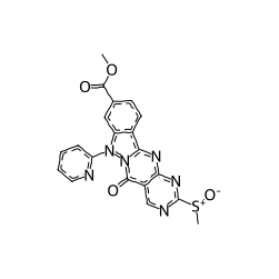 COC(=O)c1ccc2c(c1)n(-c1ccccn1)n1c(=O)c3cnc([S+](C)[O-])nc3nc21